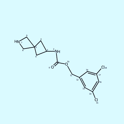 O=C(NC1CC2(CNC2)C1)OCc1cc(Cl)cc(Cl)c1